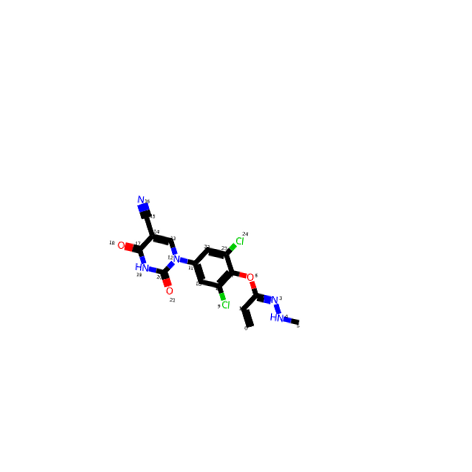 C=C/C(=N\NC)Oc1c(Cl)cc(-n2cc(C#N)c(=O)[nH]c2=O)cc1Cl